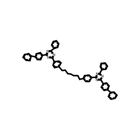 c1ccc(-c2ccc(-c3nc(-c4ccccc4)nc(-c4ccc(CCCCCCCc5ccc(-c6nc(-c7ccccc7)nc(-c7ccc(-c8ccccc8)cc7)n6)cc5)cc4)n3)cc2)cc1